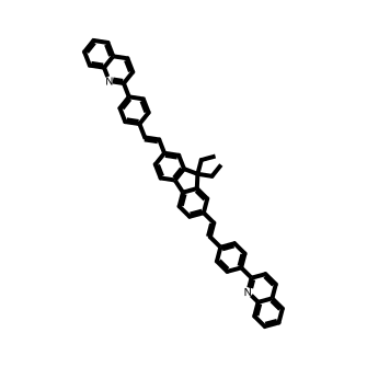 CCC1(CC)c2cc(/C=C/c3ccc(-c4ccc5ccccc5n4)cc3)ccc2-c2ccc(/C=C/c3ccc(-c4ccc5ccccc5n4)cc3)cc21